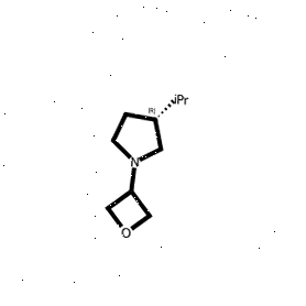 CC(C)[C@H]1CCN(C2COC2)C1